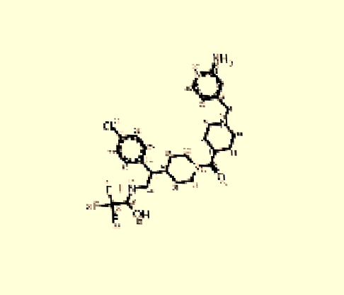 Nc1cc(CN2CCC(C(=O)N3CCC(C(CNC(O)C(F)(F)F)c4ccc(Cl)cc4)CC3)CC2)ccn1